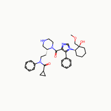 COC[C@]1(O)CCCC[C@H]1n1cnc(C(=O)N2CCNC[C@H]2CCN(C(=O)C2CC2)c2ccccc2)c1-c1ccccc1